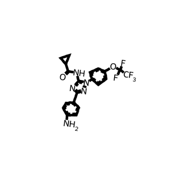 Nc1ccc(-c2nc(NC(=O)C3CC3)n(-c3ccc(OC(F)(F)C(F)(F)F)cc3)n2)cc1